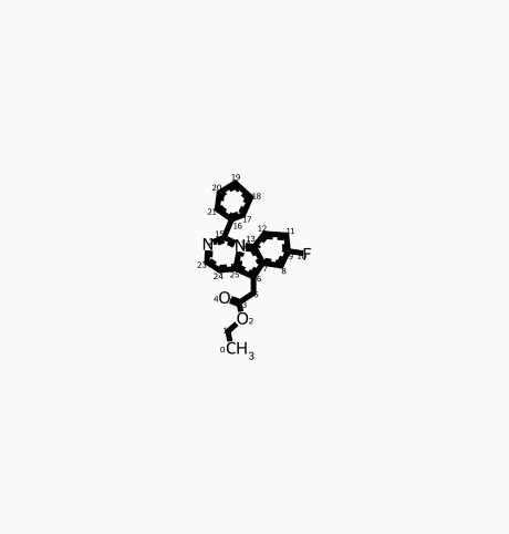 CCOC(=O)Cc1c2cc(F)ccc2n2c(-c3ccccc3)nccc12